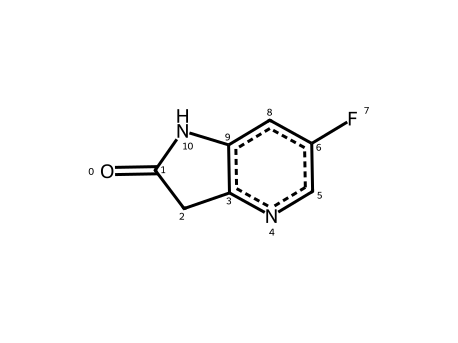 O=C1Cc2ncc(F)cc2N1